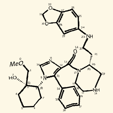 COC[C@]1(O)CCCC[C@H]1n1cnc(C(=O)N2CCNC[C@H]2CCNc2ccc3c(c2)OCO3)c1-c1ccccc1